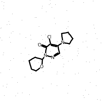 O=c1c(Cl)c(N2C[CH]CC2)cnn1C1CCCCO1